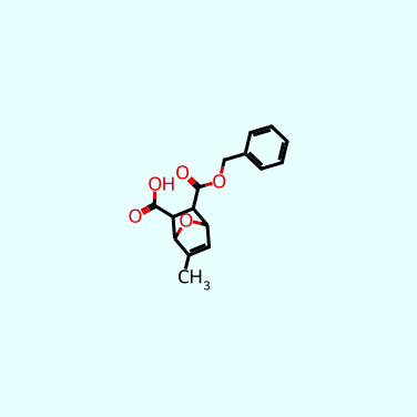 CC1=CC2OC1C(C(=O)O)C2C(=O)OCc1ccccc1